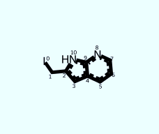 ICc1cc2cccnc2[nH]1